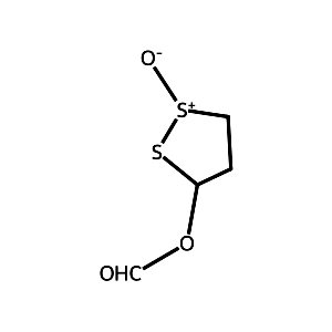 O=COC1CC[S+]([O-])S1